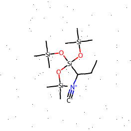 [C-]#[N+]C(CC)[Si](O[Si](C)(C)C)(O[Si](C)(C)C)O[Si](C)(C)C